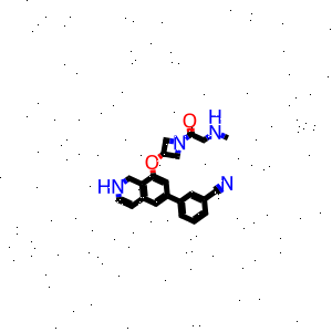 CNCC(=O)N1CC(Oc2cc(-c3cccc(C#N)c3)cc3c2CNC=C3)C1